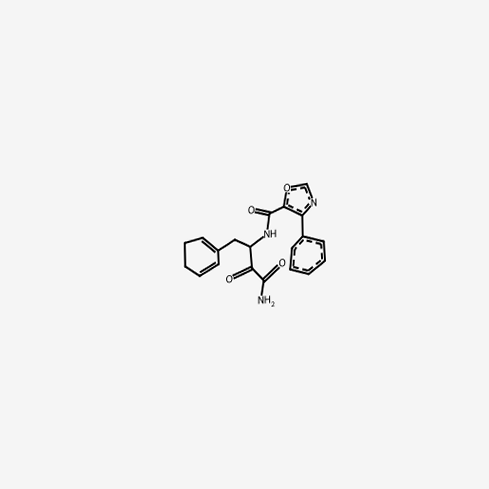 NC(=O)C(=O)C(CC1=CCCC=C1)NC(=O)c1ocnc1-c1ccccc1